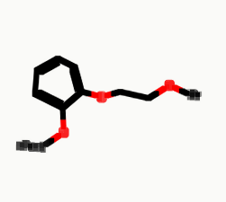 CCCCCOc1ccccc1OCCOC(C)C